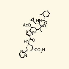 CC(=O)O[C@H](C[C@H](C(C)C)N(C)C(=O)[C@H](CC1CC1)NC(=O)[C@H]1CCCCN1C)c1nc(C(=O)N[C@@H](CCc2ncccn2)C[C@H](C)C(=O)O)cs1